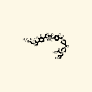 COCCn1ncc(-c2ccc(-c3cnc(C(=O)Nc4ccc(C(=O)N5CCC(C(=O)N6CC[N+](CC(=O)O)(CC7CNC7)CC6)CC5)c(Cl)c4)n3C)c(F)c2F)c1C